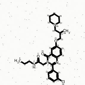 CCCNC(=O)Cn1c(-c2cccc(Cl)c2)nc2ccc(OCC(C)CN3CCCCC3)cc2c1=O